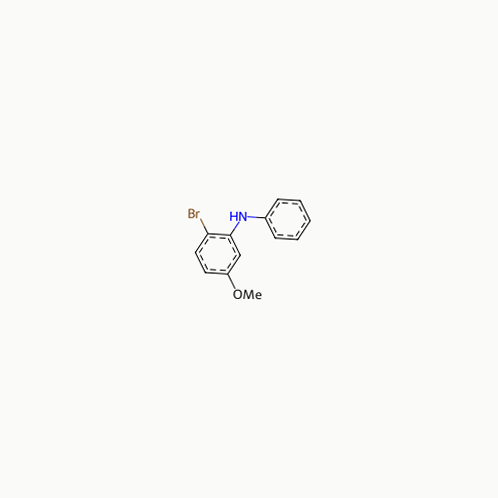 COc1ccc(Br)c(Nc2ccccc2)c1